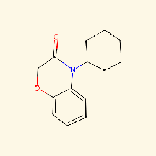 O=C1COc2ccccc2N1C1CCCCC1